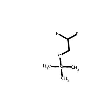 C[Si](C)(C)OCC(F)F